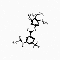 COc1cc(OC(=O)c2cc(NC(C)=O)cc(C(F)(F)F)c2)cc(OC)c1OC